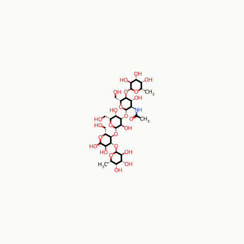 CC(=O)N[C@H]1[C@H](O[C@H]2[C@@H](O)[C@@H](CO)O[C@@H](O[C@H]3[C@H](O[C@@H]4O[C@@H](C)[C@@H](O)[C@@H](O)[C@@H]4O)[C@@H](O)C(O)O[C@@H]3CO)[C@@H]2O)O[C@H](CO)[C@@H](O[C@@H]2O[C@@H](C)[C@@H](O)[C@@H](O)[C@@H]2O)[C@@H]1O